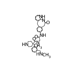 CNCc1ccccc1CN(CC(=O)Nc1ccc2c(c1)CC(=O)Nc1ncccc1C2)C(=O)C1(C)CCNCC1